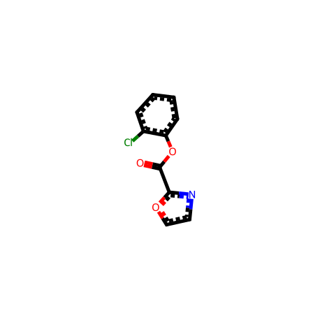 O=C(Oc1ccccc1Cl)c1ncco1